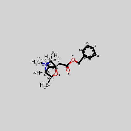 B[C@@H]1O[C@]2(CC(=O)OCc3ccccc3)C(C)[C@@H]1N(C)[C@@H]2C